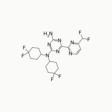 Nc1nc(-c2nccc(C(F)F)n2)nc(N(C2CCC(F)(F)CC2)C2CCC(F)(F)CC2)n1